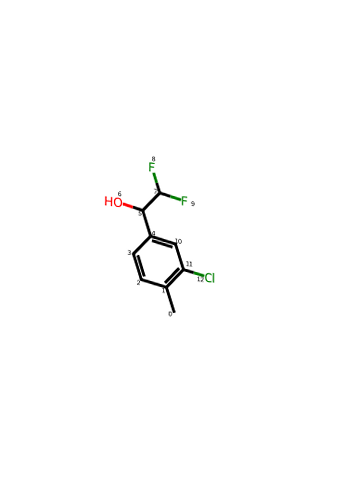 Cc1ccc(C(O)C(F)F)cc1Cl